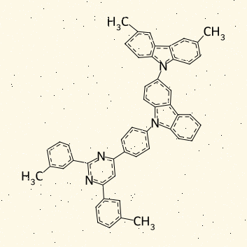 Cc1cccc(-c2cc(-c3ccc(-n4c5ccccc5c5cc(-n6c7ccc(C)cc7c7cc(C)ccc76)ccc54)cc3)nc(-c3cccc(C)c3)n2)c1